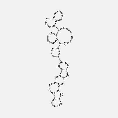 c1cccc(-c2cccc3ccccc23)c2ccccc2c(-c2cccc(-c3ccc4sc5cc6c(ccc7c8ccccc8oc67)cc5c4c3)c2)cc1